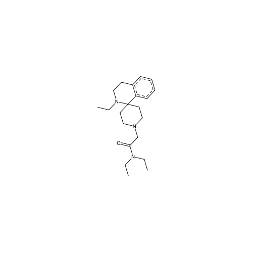 CCN(CC)C(=O)CN1CCC2(CC1)c1ccccc1CCN2CC